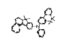 CC1(C)c2cc(N(c3ccccc3)c3ccc4c(c3)C(C)(C)C(C)(C)c3ccccc3-4)ccc2-c2c1ccc1ccccc21